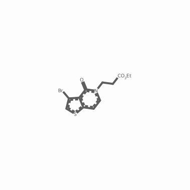 CCOC(=O)CCn1ccc2scc(Br)c2c1=O